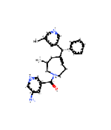 C[C@H]1C/C([C@@H](c2ccccc2)c2cncc(C#N)c2)=C/CCN(C(=O)c2cncc(N)c2)C1